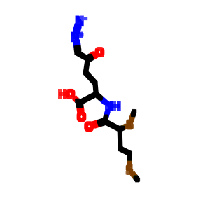 CSCCC(SC)C(=O)NC(CCC(=O)C=[N+]=[N-])C(=O)O